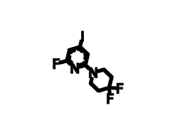 Fc1cc(I)cc(N2CCC(F)(F)CC2)n1